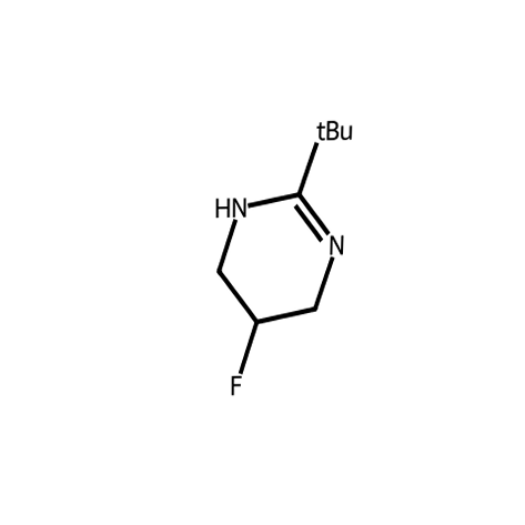 CC(C)(C)C1=NCC(F)CN1